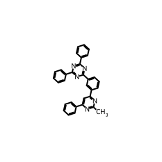 Cc1nc(-c2ccccc2)cc(-c2cccc(-c3nc(-c4ccccc4)nc(-c4ccccc4)n3)c2)n1